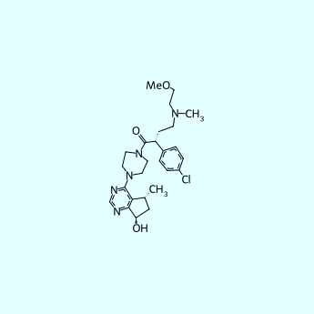 COCCN(C)CC[C@@H](C(=O)N1CCN(c2ncnc3c2[C@H](C)C[C@H]3O)CC1)c1ccc(Cl)cc1